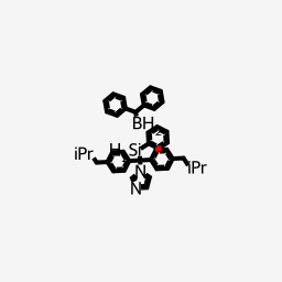 BC(c1ccccc1)c1ccccc1.CC(C)Cc1ccc(C([SiH2]c2ccccc2)(c2ccc(CC(C)C)cc2)n2ccnc2)cc1